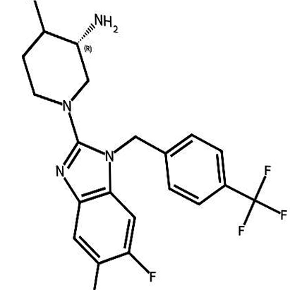 N[C@@H]1CN(c2nc3cc(F)c(F)cc3n2Cc2ccc(C(F)(F)F)cc2)CCC1F